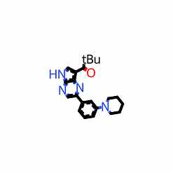 CC(C)(C)C(=O)c1c[nH]c2ncc(-c3cccc(N4CCCCC4)c3)nc12